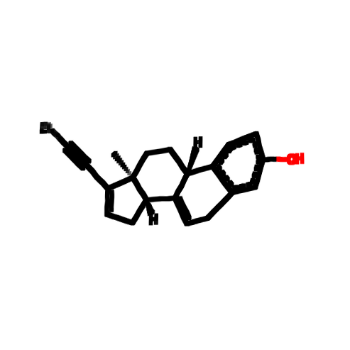 CCC#CC1=CC[C@H]2C3=CCc4cc(O)ccc4[C@H]3CC[C@]12C